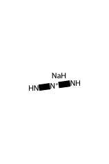 N=[N+]=N.[NaH]